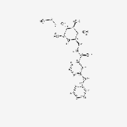 C=CCO[C@@H]1[C@@H](O)[C@H](O)[C@@H](COC(=O)c2cccc(Oc3ccccc3)c2)O[C@H]1O